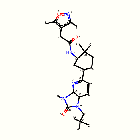 Cc1noc(C)c1CC(=O)NC1CC(C2=NC3C(C=C2)N(CC(C)(C)C)C(=O)N3C)CCC1(C)C